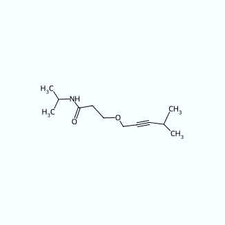 CC(C)C#CCOCCC(=O)NC(C)C